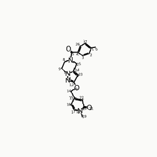 Cc1ccc(C(=O)N2CCn3nc(OCc4ccn(C)c(=O)c4)cc3C2)cc1